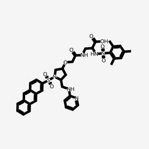 Cc1cc(C)c(S(=O)(=O)NC(CNC(=O)COC2CC(CNc3ccccn3)N(S(=O)(=O)c3ccc4cc5ccccc5cc4c3)C2)C(=O)O)c(C)c1